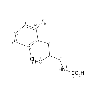 O=C(O)NCC(O)Cc1c(Cl)cccc1Cl